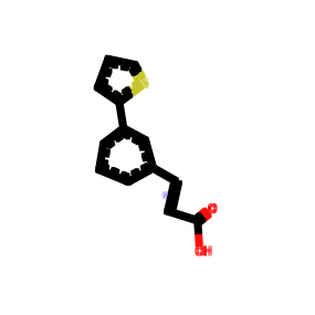 O=C(O)/C=C/c1cccc(-c2cccs2)c1